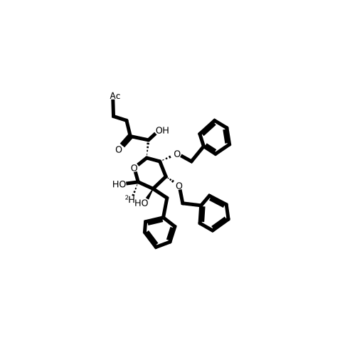 [2H][C@]1(O)O[C@H](C(O)C(=O)CCC(C)=O)[C@H](OCc2ccccc2)[C@H](OCc2ccccc2)[C@]1(O)Cc1ccccc1